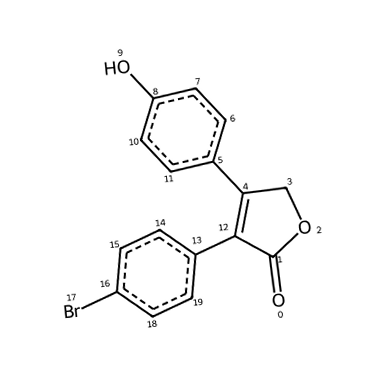 O=C1OCC(c2ccc(O)cc2)=C1c1ccc(Br)cc1